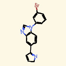 Brc1cccc(-n2cnc3cc(C4=NCC=C4)ccc32)c1